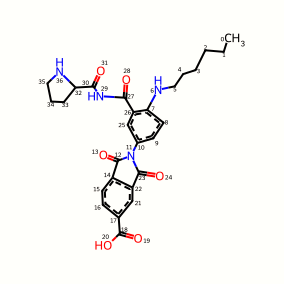 CCCCCCNc1ccc(N2C(=O)c3ccc(C(=O)O)cc3C2=O)cc1C(=O)NC(=O)C1CCCN1